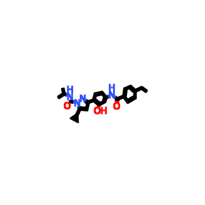 CCc1ccc(C(=O)Nc2ccc(-c3cc(C4CC4)n(C(=O)NC(C)C)n3)c(O)c2)cc1